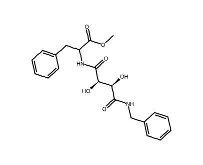 COC(=O)C(Cc1ccccc1)NC(=O)[C@H](O)[C@@H](O)C(=O)NCc1ccccc1